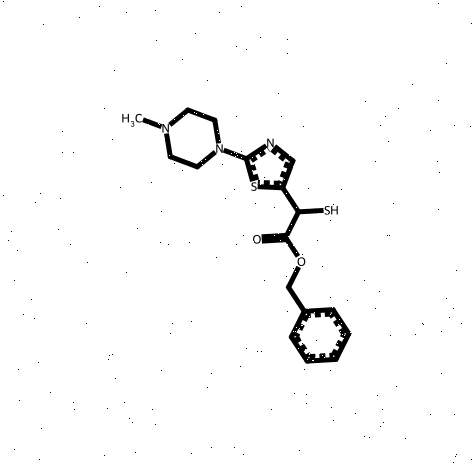 CN1CCN(c2ncc(C(S)C(=O)OCc3ccccc3)s2)CC1